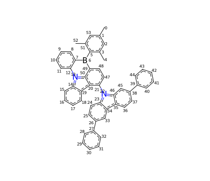 Cc1cc(C)c(B2c3ccccc3-n3c4ccccc4c4c(-n5c6ccc(-c7ccccc7)cc6c6ccc(-c7ccccc7)cc65)ccc2c43)c(C)c1